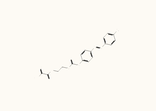 C=C(C)C(=O)OCCNC(=S)Nc1ccc(/N=N/c2ccc([N+](=O)[O-])cc2)cc1